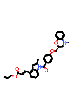 C=CCOC(=O)C=Cc1cccc2c1cc(C)n2C(=O)c1ccc(OC[C@@H]2CN(C)c3ccccc3O2)cc1